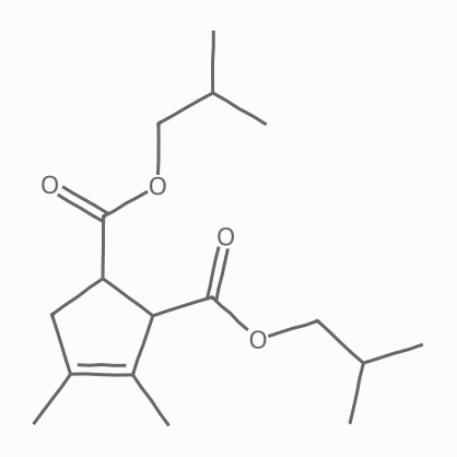 CC1=C(C)C(C(=O)OCC(C)C)C(C(=O)OCC(C)C)C1